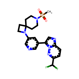 CS(=O)(=O)N1CCC2(CCN2c2cncc(-c3cnc4ccc(C(F)F)nn34)c2)CC1